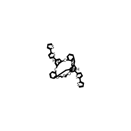 Oc1c2cc(-c3ccc(-c4cccs4)s3)cc1Cc1cccc3c1OCCOCCOCCOCCOc1c(cccc1Cc1cc(-c4ccc(-c5cccs5)s4)cc(c1O)C3)C2